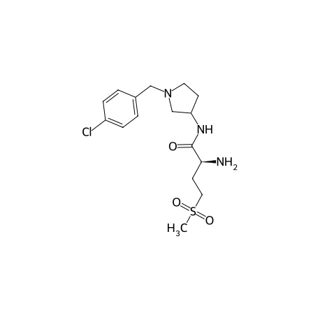 CS(=O)(=O)CC[C@H](N)C(=O)NC1CCN(Cc2ccc(Cl)cc2)C1